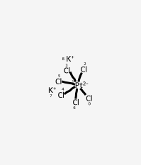 [Cl][Pt-2]([Cl])([Cl])([Cl])([Cl])[Cl].[K+].[K+]